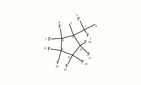 CC(F)(F)C1(C)C(F)(F)C(F)(F)C(F)(F)C1(F)F